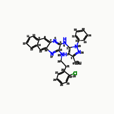 CC(C)(C)c1cc(Nc2nc3cc4ccccc4cc3nc2NCCc2ccccc2Cl)n(-c2ccccc2)n1